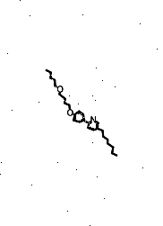 CCCCCCCc1ccc(-c2ccc(OCCCCOCCCCC)cc2)nc1